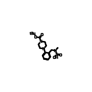 CN(Cc1ccccc1N1CCN(C(=O)OC(C)(C)C)CC1)[SH](=O)=O